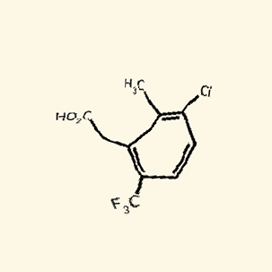 Cc1c(Cl)ccc(C(F)(F)F)c1CC(=O)O